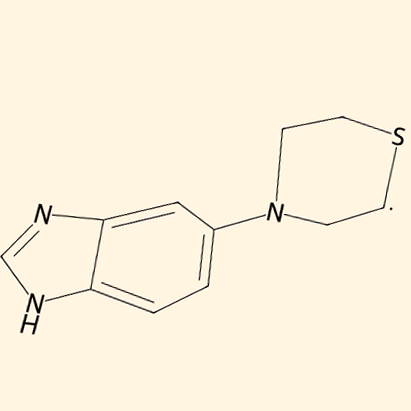 [CH]1CN(c2ccc3[nH]cnc3c2)CCS1